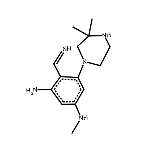 CNc1cc(N)c(C=N)c(N2CCNC(C)(C)C2)c1